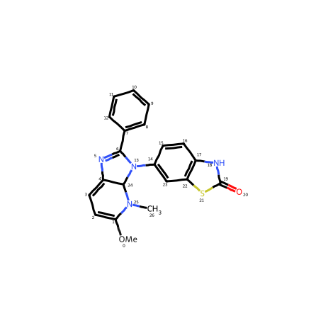 COC1=CC=C2N=C(c3ccccc3)N(c3ccc4[nH]c(=O)sc4c3)C2N1C